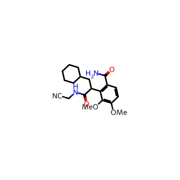 COc1ccc(C(N)=O)c(C(CC2CCCCC2)C(=O)NCC#N)c1OC